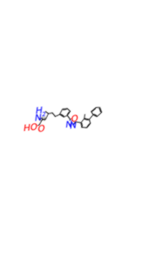 Cc1c(-c2ccccc2)cccc1-c1nnc(-c2cccc(CCC(C)C[C@H](N)C(=O)O)c2)o1